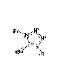 CCCCc1c(Cl)nnn1C(C)C